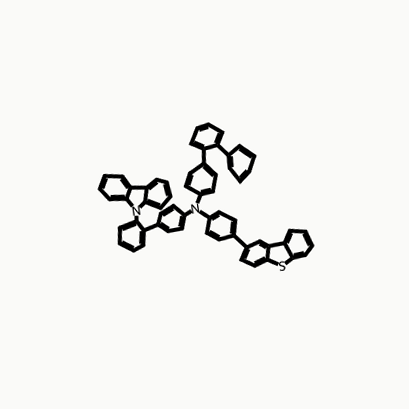 c1ccc(-c2ccccc2-c2ccc(N(c3ccc(-c4ccc5sc6ccccc6c5c4)cc3)c3ccc(-c4ccccc4-n4c5ccccc5c5ccccc54)cc3)cc2)cc1